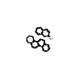 O=C1C=Cc2ccccc2C1.c1ccc2c(c1)ccc1c3c(ccc12)CCCC3